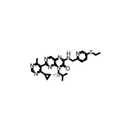 CCSc1ccc(CNc2nc3cnc(-c4c(C)ncnc4C4CC4)nc3n([C@@H](C)C(C)C)c2=O)nc1